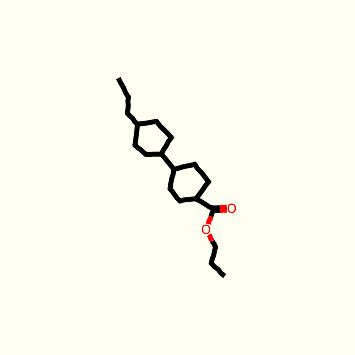 CCCOC(=O)C1CCC(C2CCC(CCC)CC2)CC1